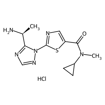 C[C@H](N)c1ncnn1-c1ncc(C(=O)N(C)C2CC2)s1.Cl